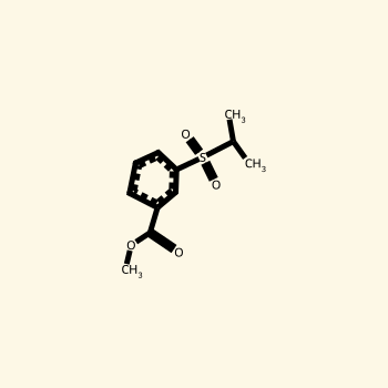 COC(=O)c1cccc(S(=O)(=O)C(C)C)c1